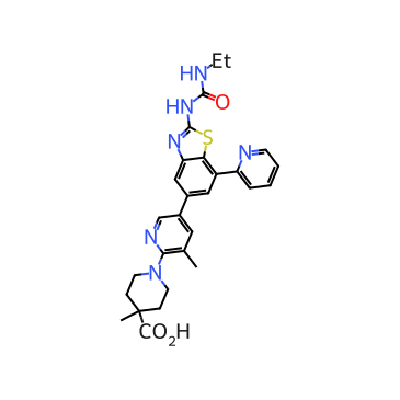 CCNC(=O)Nc1nc2cc(-c3cnc(N4CCC(C)(C(=O)O)CC4)c(C)c3)cc(-c3ccccn3)c2s1